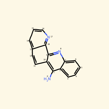 Nc1c2ccccc2nc2c1ccc1cccnc12